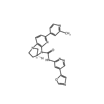 Cc1cc(-c2ccc3c(n2)N(C(=O)Nc2cc(-c4cnco4)cnn2)[C@H]2CCN3C2)ccn1